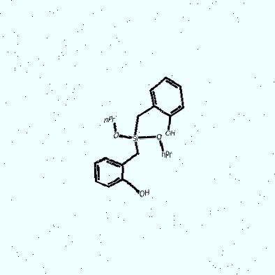 CCCO[Si](Cc1ccccc1O)(Cc1ccccc1O)OCCC